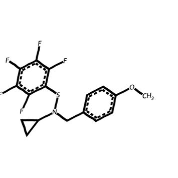 COc1ccc(CN(Sc2c(F)c(F)c(F)c(F)c2F)C2CC2)cc1